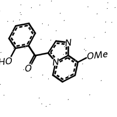 COc1cccn2c(C(=O)c3ccccc3O)cnc12